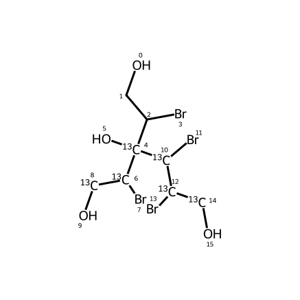 OCC(Br)[13C](O)([13CH](Br)[13CH2]O)[13CH](Br)[13CH](Br)[13CH2]O